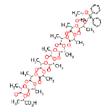 CC(OC(=O)C(C)OC(=O)C(C)OC(=O)C(C)OC(=O)C(C)OC(=O)C(C)OC(=O)C(C)OC(=O)C(C)OC(=O)C(C)OC(=O)C(C)OC(=O)C(C)OC(=O)C(C)OC(=O)C(C)OC(=O)C(C)O[Si](c1ccccc1)(c1ccccc1)C(C)(C)C)C(=O)O